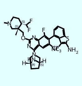 CN1CC[C@H](C(F)F)[C@](C)(COc2nc(N3C[C@H]4CC[C@@H](C3)N4)c3cc(C(F)(F)F)c(-c4cccc5sc(N)c(C#N)c45)c(F)c3n2)C1